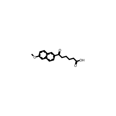 COc1ccc2cc(C(=O)CCCCC(=O)O)ccc2c1